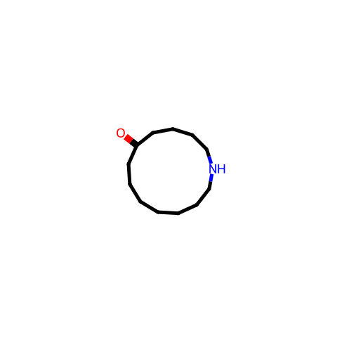 O=C1CCCCCCCNCCCC1